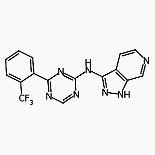 FC(F)(F)c1ccccc1-c1ncnc(Nc2n[nH]c3cnccc23)n1